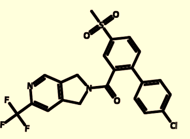 CS(=O)(=O)c1ccc(-c2ccc(Cl)cc2)c(C(=O)N2Cc3cnc(C(F)(F)F)cc3C2)c1